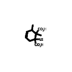 CCC1(C(=O)O)CC=CC(C)C1(C)C(=O)O